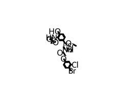 CC[Si](CC)(CC)O[C@H](CNC(=O)COc1ccc(Br)c(Cl)c1)c1ccc(O)c(NS(C)(=O)=O)c1